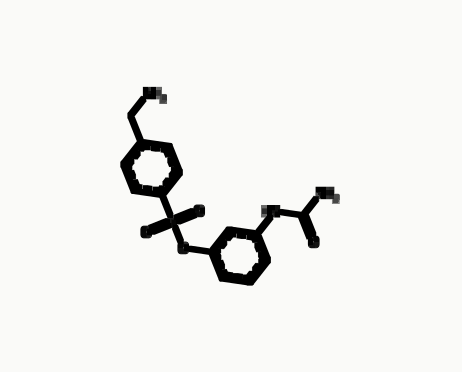 NCc1ccc(S(=O)(=O)Oc2cccc(NC(N)=O)c2)cc1